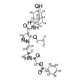 CC(C)COc1c(C(=O)N[C@H]2C3CC4CC2C[C@](O)(C4)C3)cnn1/C=C/C(C)(C)NC(=O)COC(=O)c1ccccc1